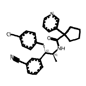 C[C@H](NC(=O)C1(c2cccnc2)CCCC1)[C@@H](Cc1ccc(Cl)cc1)c1cccc(C#N)c1